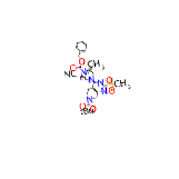 C[C@@H]1CN(c2nc(S(C)(=O)=O)nc3c2CCN(C(=O)OC(C)(C)C)C3)C[C@H](CC#N)N1C(=O)OCc1ccccc1